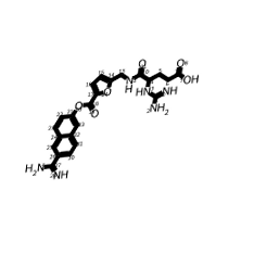 N=C(N)NC(CCC(=O)O)C(=O)NCc1ccc(C(=O)Oc2ccc3cc(C(=N)N)ccc3c2)o1